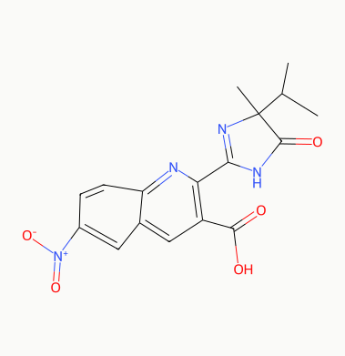 CC(C)C1(C)N=C(c2nc3ccc([N+](=O)[O-])cc3cc2C(=O)O)NC1=O